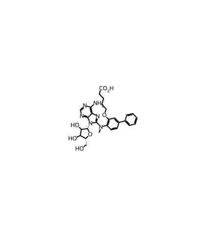 CN(c1ccc(-c2ccccc2)cc1OCCCCC(=O)O)c1nc2c(N)ncnc2n1[C@@H]1O[C@H](CO)C(O)C1O